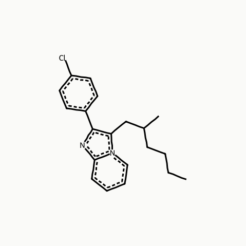 CCCCC(C)Cc1c(-c2ccc(Cl)cc2)nc2ccccn12